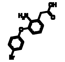 Nc1c(CC(=O)O)cccc1Oc1ccc(Br)cc1